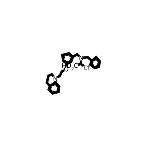 CCC(C(=O)O)N(Cc1ccccc1)Cc1cccc(OCCN2CCCc3ccccc32)c1